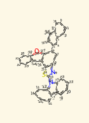 c1ccc2cc(-c3cc4nc(-n5c6ccccc6c6ccccc65)sc4c4c3oc3ccccc34)ccc2c1